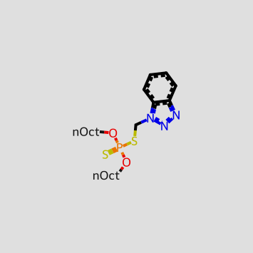 CCCCCCCCOP(=S)(OCCCCCCCC)SCn1nnc2ccccc21